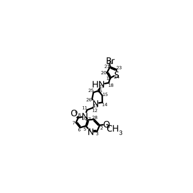 COc1cnc2ccc(=O)n(CCN3CCC(NCc4cc(Br)cs4)CC3)c2c1